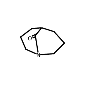 O=C1C2CCCN1CCC2